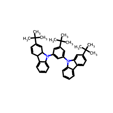 CC(C)(C)C1=CC2C(C=C1)c1ccccc1N2c1cc(-n2c3ccccc3c3ccc(C(C)(C)C)cc32)cc(C(C)(C)C)c1